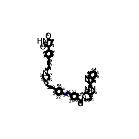 O=C1CCC(c2ccc(C#CCCN3CCN(CC#Cc4ccc(/C=C/c5ccc(C(=O)N6CCc7cnc(-c8cnc9ccccc9c8)nc7C6)cc5)cc4)CC3)cc2)C(=O)N1